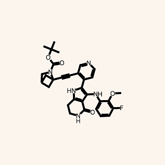 COc1c(F)cccc1Nc1c(-c2ccncc2C#CC23CC(CN2C(=O)OC(C)(C)C)C3)[nH]c2c1C(=O)NCC2